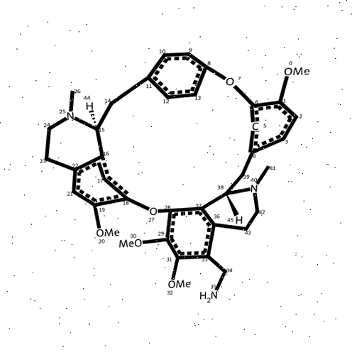 COc1ccc2cc1Oc1ccc(cc1)C[C@H]1c3cc(c(OC)cc3CCN1C)Oc1c(OC)c(OC)c(CN)c3c1[C@H](C2)N(C)CC3